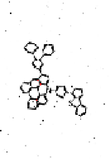 c1ccc(-c2ccc(-c3ccc(N(c4ccc(-c5cccc6c5sc5ccccc56)cc4)c4ccccc4-c4cccc5cccc(-c6ccccc6)c45)cc3)cc2-c2ccccc2)cc1